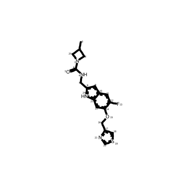 CC1CN(C(=O)NCc2cc3cc(F)c(OCc4cscn4)cc3[nH]2)C1